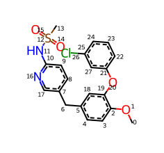 COc1ccc(Cc2ccc(NS(C)(=O)=O)nc2)cc1Oc1cccc(Cl)c1